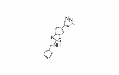 Cc1cc(-c2ccc3nc(NCc4ccccc4)sc3c2)cnn1